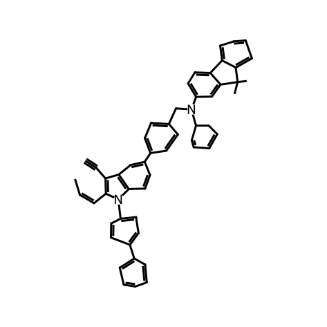 C#Cc1c(/C=C\C)n(-c2ccc(-c3ccccc3)cc2)c2ccc(-c3ccc(CN(c4ccc5c(c4)C(C)(C)c4ccccc4-5)C4C=CC=CC4)cc3)cc12